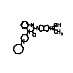 CB(O)N1CC2CN(c3nc4ccccc4n(C4CCN(C5CCCCCCC5)CC4)c3=O)CC2C1